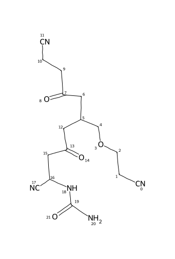 N#CCCOCC(CC(=O)CCC#N)CC(=O)CC(C#N)NC(N)=O